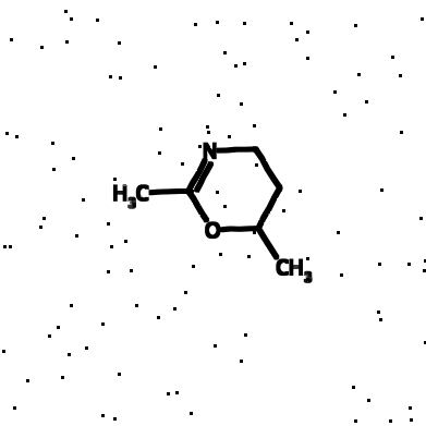 CC1=NCCC(C)O1